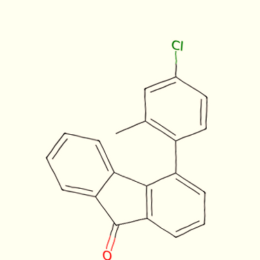 Cc1cc(Cl)ccc1-c1cccc2c1-c1ccccc1C2=O